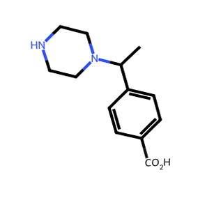 CC(c1ccc(C(=O)O)cc1)N1CCNCC1